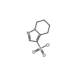 O=S(=O)(Cl)c1cnn2c1CCCC2